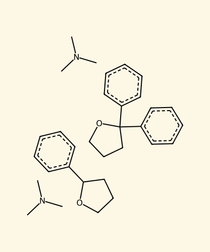 CN(C)C.CN(C)C.c1ccc(C2(c3ccccc3)CCCO2)cc1.c1ccc(C2CCCO2)cc1